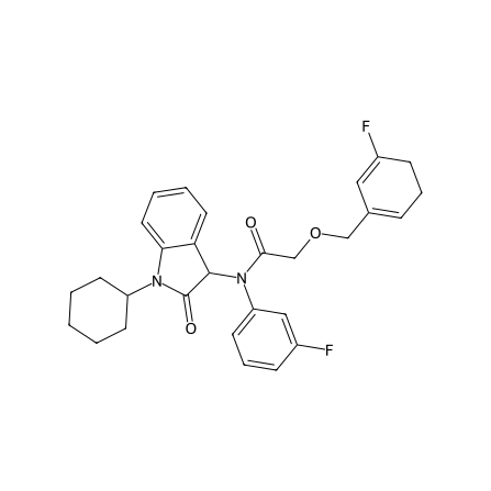 O=C1C(N(C(=O)COCC2=CCCC(F)=C2)c2cccc(F)c2)c2ccccc2N1C1CCCCC1